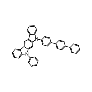 c1ccc(-c2ccc(-c3ccc(-n4c5ccccc5c5cc6c7ccccc7n(-c7ccccc7)c6cc54)cc3)cc2)cc1